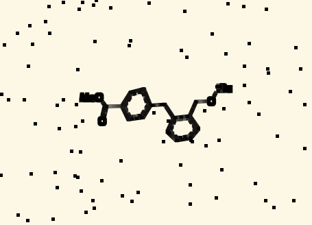 COC(=O)c1ccc(Cc2ccccc2COC(C)(C)C)cc1